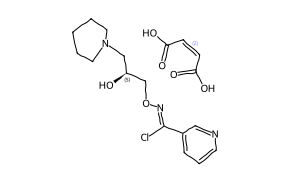 O=C(O)/C=C\C(=O)O.O[C@H](CON=C(Cl)c1cccnc1)CN1CCCCC1